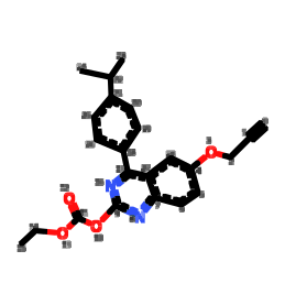 C#CCOc1ccc2nc(OC(=O)OCC)nc(-c3ccc(C(C)C)cc3)c2c1